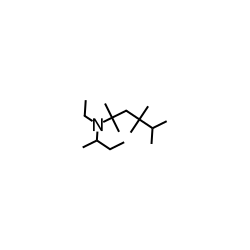 CCC(C)N(CC)C(C)(C)CC(C)(C)C(C)C